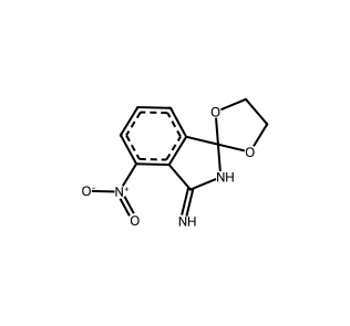 N=C1NC2(OCCO2)c2cccc([N+](=O)[O-])c21